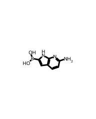 Nc1ccc2cc(B(O)O)[nH]c2n1